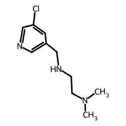 CN(C)CCNCc1cncc(Cl)c1